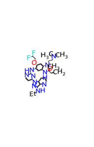 C=CC(=O)Nc1cc(Nc2nccc(-n3nc(NCC)c4ncccc43)n2)c(OCC(F)F)cc1N(C)CCN(C)C